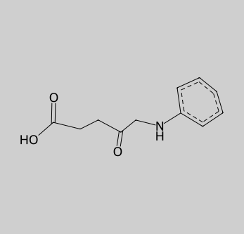 O=C(O)CCC(=O)CNc1ccccc1